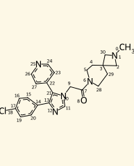 CN1CC2(CCN(C(=O)Cn3cnc(-c4ccc(Cl)cc4)c3-c3ccncc3)CC2)C1